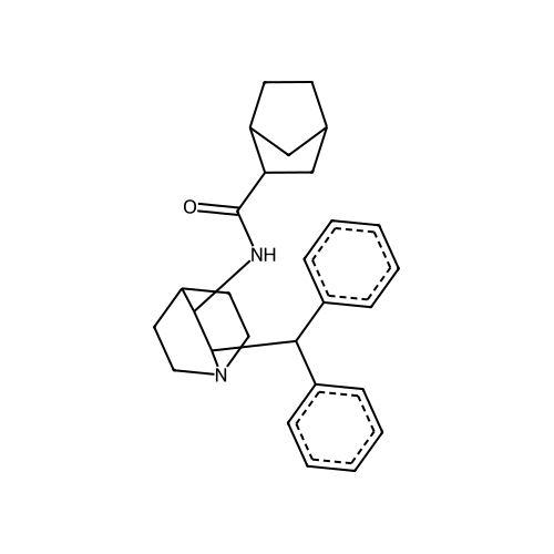 O=C(NC1C2CCN(CC2)C1C(c1ccccc1)c1ccccc1)C1CC2CCC1C2